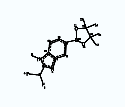 Cn1c(C(F)F)nc2cc(B3OC(C)(C)C(C)(C)O3)ccc21